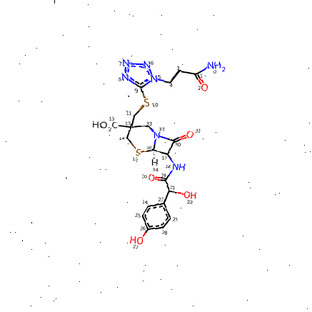 NC(=O)CCn1nnnc1SCC1(C(=O)O)CS[C@@H]2C(NC(=O)C(O)c3ccc(O)cc3)C(=O)N2C1